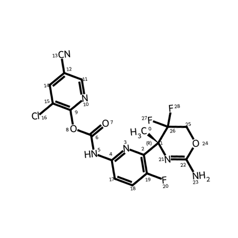 C[C@]1(c2nc(NC(=O)Oc3ncc(C#N)cc3Cl)ccc2F)N=C(N)OCC1(F)F